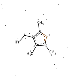 Cc1sc(C)c(CC(C)C)c1C